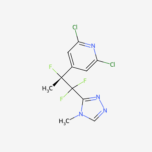 Cn1cnnc1C(F)(F)[C@](C)(F)c1cc(Cl)nc(Cl)c1